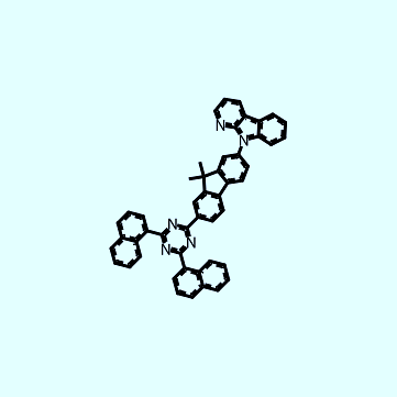 CC1(C)c2cc(-c3nc(-c4cccc5ccccc45)nc(-c4cccc5ccccc45)n3)ccc2-c2ccc(-n3c4ccccc4c4cccnc43)cc21